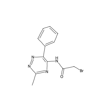 Cc1nnc(-c2ccccc2)c(NC(=O)CBr)n1